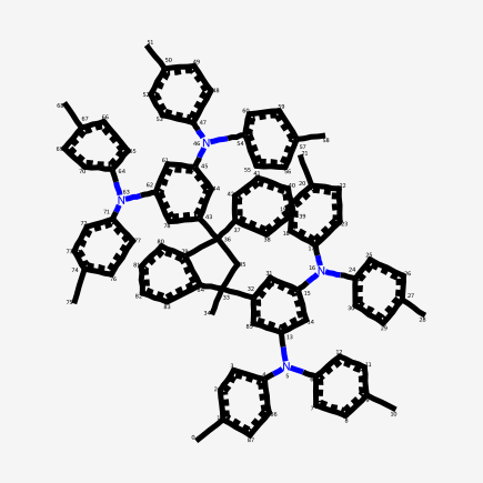 Cc1ccc(N(c2ccc(C)cc2)c2cc(N(c3ccc(C)cc3)c3ccc(C)cc3)cc(C3(C)CC(c4ccccc4)(c4cc(N(c5ccc(C)cc5)c5ccc(C)cc5)cc(N(c5ccc(C)cc5)c5ccc(C)cc5)c4)c4ccccc43)c2)cc1